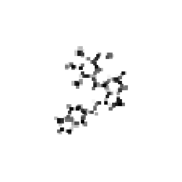 Cc1cc(O[C@@H]2O[C@H](CO)[C@@H](O)[C@H](O)[C@H]2O)c2c(c1)ncn2CCc1ccc2c(c1)CCO2